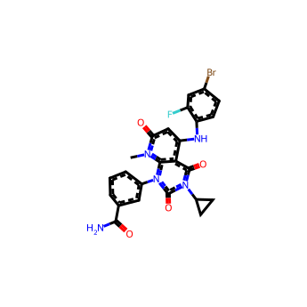 Cn1c(=O)cc(Nc2ccc(Br)cc2F)c2c(=O)n(C3CC3)c(=O)n(-c3cccc(C(N)=O)c3)c21